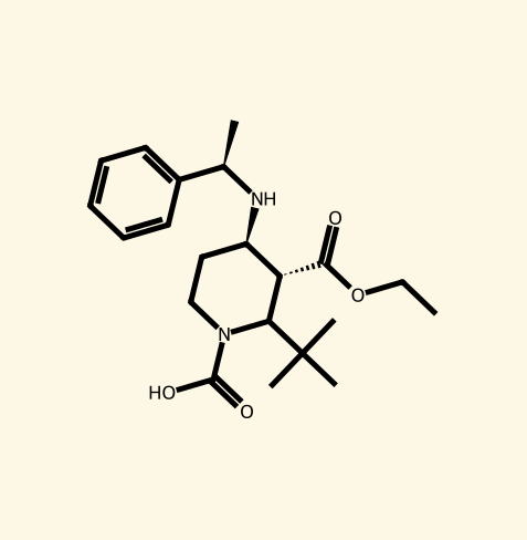 CCOC(=O)[C@@H]1C(C(C)(C)C)N(C(=O)O)CC[C@H]1N[C@H](C)c1ccccc1